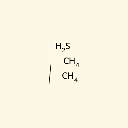 C.C.CC.S